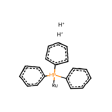 [H+].[H+].[Ru][PH](c1ccccc1)(c1ccccc1)c1ccccc1